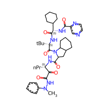 CCC[C@H](NC(=O)C1CC2CCCCC2N1C(=O)[C@@H](NC(=O)[C@@H](NC(=O)c1cnccn1)C1CCCCC1)C(C)(C)C)C(=O)C(=O)NN(C)c1ccccc1